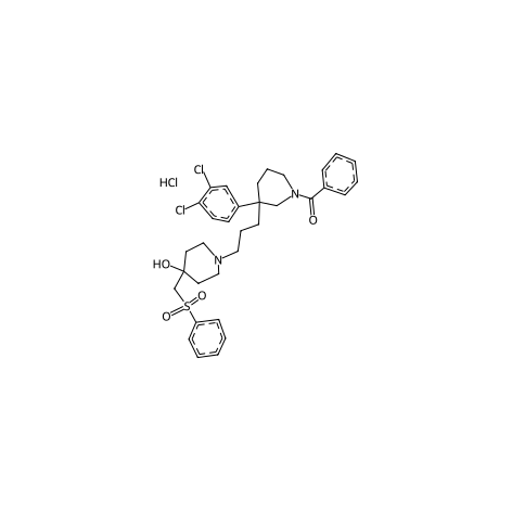 Cl.O=C(c1ccccc1)N1CCCC(CCCN2CCC(O)(CS(=O)(=O)c3ccccc3)CC2)(c2ccc(Cl)c(Cl)c2)C1